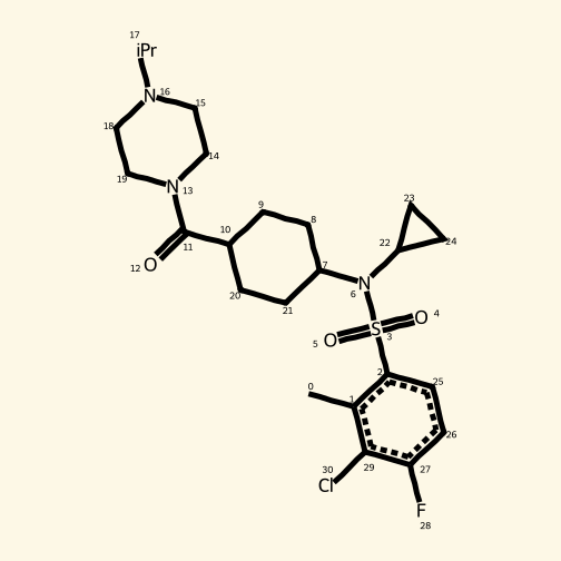 Cc1c(S(=O)(=O)N(C2CCC(C(=O)N3CCN(C(C)C)CC3)CC2)C2CC2)ccc(F)c1Cl